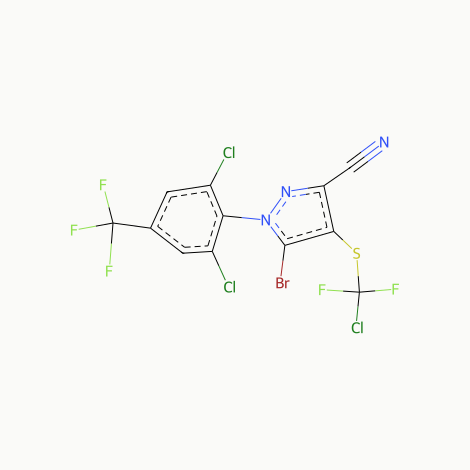 N#Cc1nn(-c2c(Cl)cc(C(F)(F)F)cc2Cl)c(Br)c1SC(F)(F)Cl